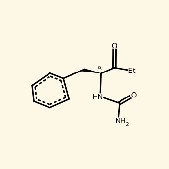 CCC(=O)[C@H](Cc1ccccc1)NC(N)=O